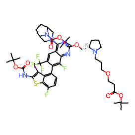 CC(C)(C)OC(=O)CCOCCCN1CCC[C@H]1COc1nc(N2CC3CCC(C2)N3C(=O)OC(C)(C)C)c2cc(C(F)(F)F)c(-c3ccc(F)c4sc(NC(=O)OC(C)(C)C)c(I)c34)c(F)c2n1